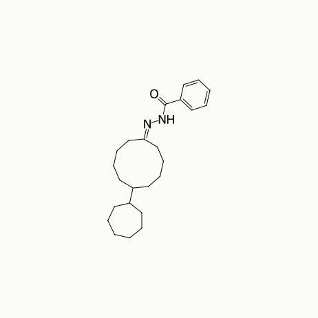 O=C(NN=C1CCCCC(C2CCCCCC2)CCCC1)c1ccccc1